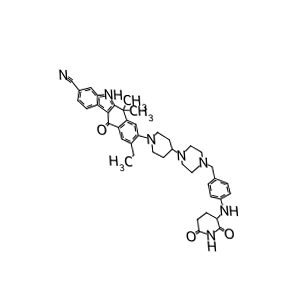 CCc1cc2c(cc1N1CCC(N3CCN(Cc4ccc(NC5CCC(=O)NC5=O)cc4)CC3)CC1)C(C)(C)c1[nH]c3cc(C#N)ccc3c1C2=O